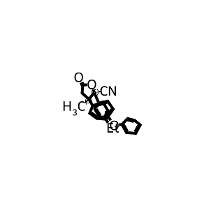 CCc1ccc([C@]2(C)CC(=O)O[C@@]2(C#N)c2ccc(Oc3ccccc3)cc2)cc1